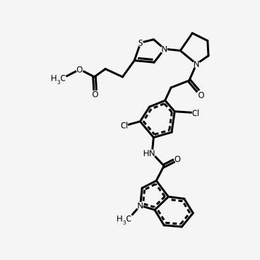 COC(=O)CCC1=CN(C2CCCN2C(=O)Cc2cc(Cl)c(NC(=O)c3cn(C)c4ccccc34)cc2Cl)CS1